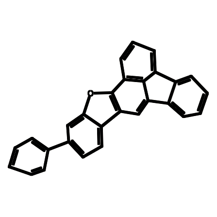 c1ccc(-c2ccc3c(c2)oc2c4cccc5c4c(cc32)-c2ccccc2-5)cc1